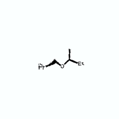 [CH2]CC(C)OCC(C)C